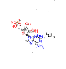 CCCNc1nc(N)c2ncn([C@@H]3O[C@H](COP(=O)(O)O)C(O)C3O)c2n1